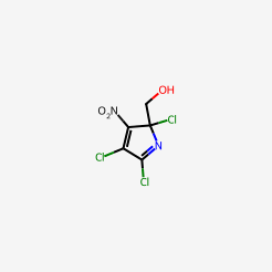 O=[N+]([O-])C1=C(Cl)C(Cl)=NC1(Cl)CO